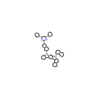 c1ccc(-c2cc(-c3ccccc3)nc(-c3ccc4cc(-n5c6ccccc6c6cc7c8c9ccccc9ccc8n(-c8cccc9ccccc89)c7cc65)ccc4c3)n2)cc1